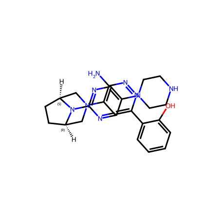 Nc1nnc(-c2ccccc2O)cc1N1C[C@H]2CC[C@@H](C1)N2c1ncc(N2CCNCC2)cn1